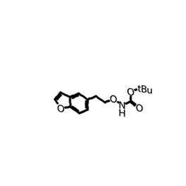 CC(C)(C)OC(=O)NOCCc1ccc2occc2c1